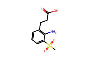 CS(=O)(=O)c1cccc(CCC(=O)O)c1N